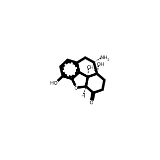 C[C@@]12c3c4ccc(O)c3O[C@@H]1C(=O)CC[C@]2(O)[C@@H](N)C4